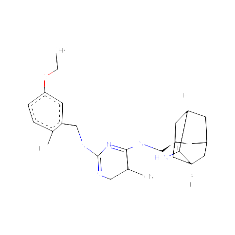 Cc1ccc(OCC=O)cc1CNC1=NCC(C#N)C(NC[C@]23CC4C[C@H](C2)[C@@H](N)[C@@H](C4)C3)=N1